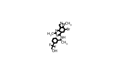 Cc1nc(N[C@H](C)c2cccc(C(F)(F)CO)c2)c2cc(Br)c3c(cnn3C)c2n1